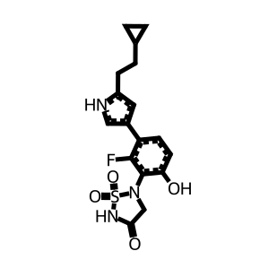 O=C1CN(c2c(O)ccc(-c3c[nH]c(CCC4CC4)c3)c2F)S(=O)(=O)N1